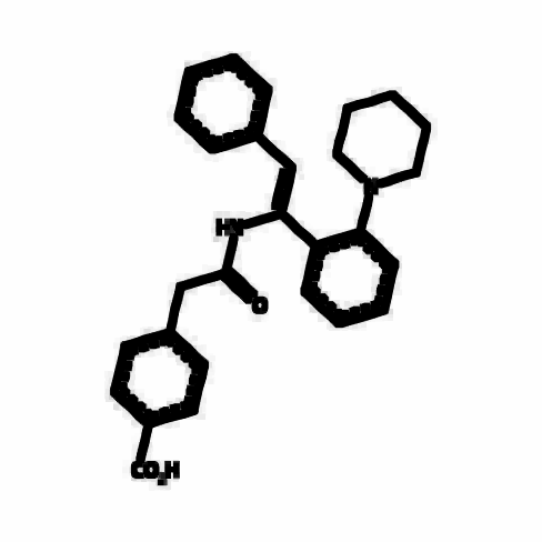 O=C(Cc1ccc(C(=O)O)cc1)N/C(=C\c1ccccc1)c1ccccc1N1CCCCC1